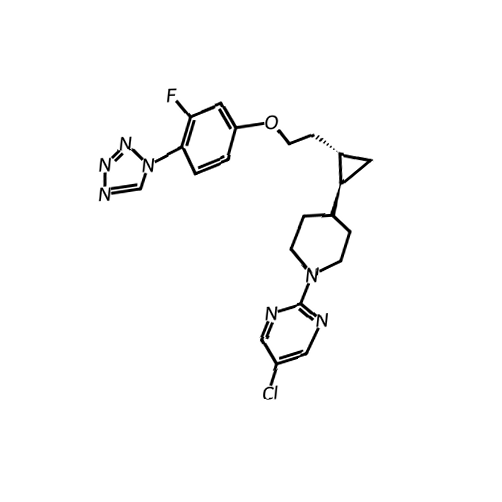 Fc1cc(OCC[C@@H]2C[C@H]2C2CCN(c3ncc(Cl)cn3)CC2)ccc1-n1cnnn1